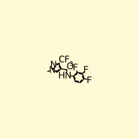 Cn1cc(C(=O)Nc2ccc(F)c(F)c2F)c(C(F)(F)F)n1